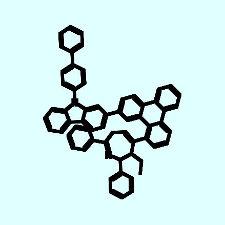 CCC1C(c2cccc3c4ccccc4c4ccc(-c5ccc6c7ccccc7n(-c7ccc(-c8ccccc8)cc7)c6c5)cc4c23)=CCC(c2ccccc2)=NC1c1ccccc1